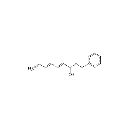 C=CC=CC=CC(O)CCc1ccccc1